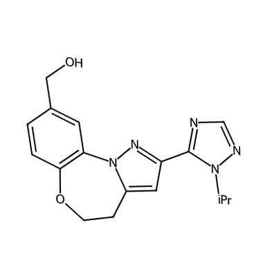 CC(C)n1ncnc1-c1cc2n(n1)-c1cc(CO)ccc1OCC2